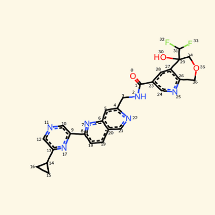 O=C(NCc1cc2nc(-c3cncc(C4CC4)n3)ccc2cn1)c1cnc2c(c1)C(O)(C(F)F)COC2